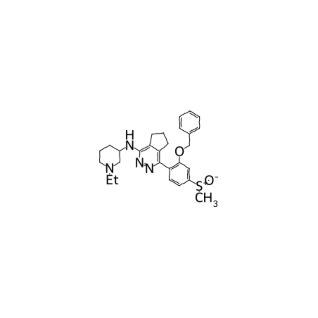 CCN1CCCC(Nc2nnc(-c3ccc([S+](C)[O-])cc3OCc3ccccc3)c3c2CCC3)C1